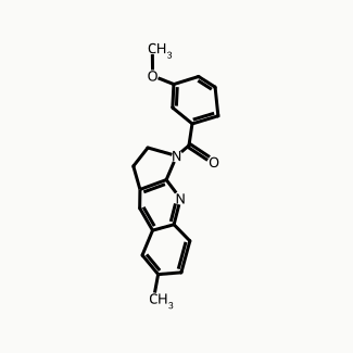 COc1cccc(C(=O)N2CCc3cc4cc(C)ccc4nc32)c1